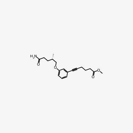 COC(=O)CCCC#Cc1cccc(OC[C@@H](C)CCC(N)=O)c1